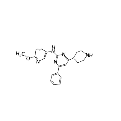 COc1ccc(Nc2nc(-c3ccccc3)cc(C3CCNCC3)n2)cn1